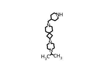 CC(C)N1CCN(C2CC3(CCN(CC4CCNCC4)CC3)C2)CC1